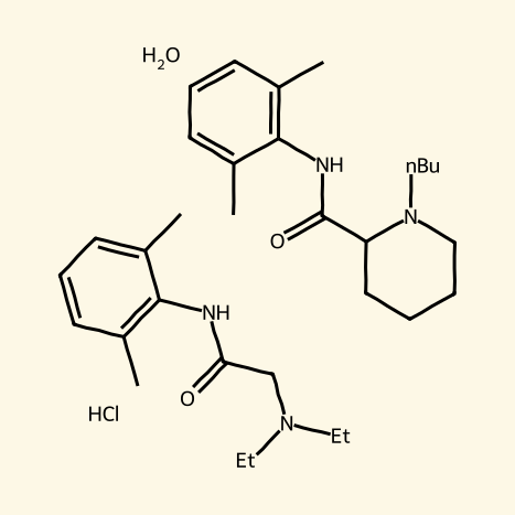 CCCCN1CCCCC1C(=O)Nc1c(C)cccc1C.CCN(CC)CC(=O)Nc1c(C)cccc1C.Cl.O